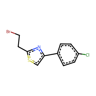 Clc1ccc(-c2csc(CCBr)n2)cc1